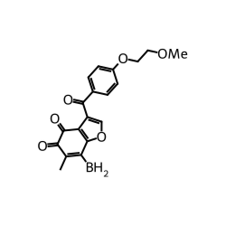 BC1=C(C)C(=O)C(=O)c2c(C(=O)c3ccc(OCCOC)cc3)coc21